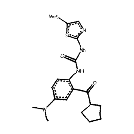 CSc1cnc(NC(=O)Nc2ccc(N(C)C)cc2C(=O)C2CCCC2)s1